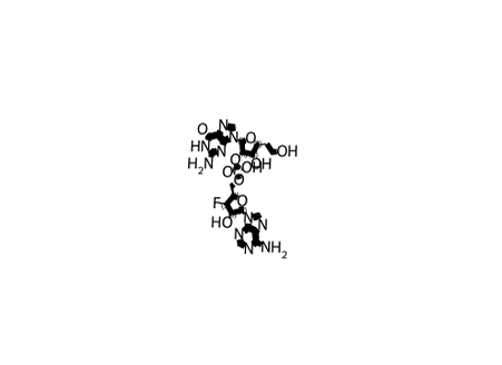 Nc1nc2c(ncn2[C@@H]2O[C@H](CCO)[C@@H](O)[C@H]2OP(=O)(O)OC[C@H]2O[C@@H](n3cnc4c(N)ncnc43)[C@H](O)[C@@H]2F)c(=O)[nH]1